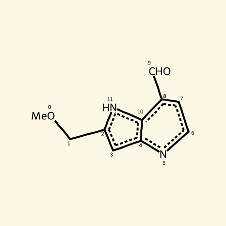 COCc1cc2nccc(C=O)c2[nH]1